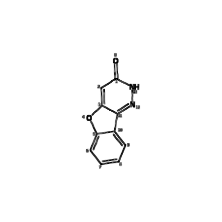 O=c1cc2oc3ccccc3c2n[nH]1